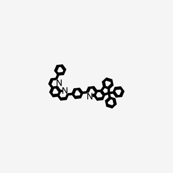 c1ccc(-c2ccc3ccc4ccc(-c5ccc(-c6ccc7c8c(ccc7n6)C(c6ccccc6)(c6ccccc6)c6ccccc6-8)cc5)nc4c3n2)cc1